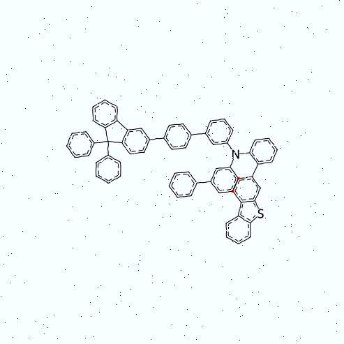 c1ccc(-c2cccc(N(c3cccc(-c4ccc(-c5ccc6c(c5)-c5ccccc5C6(c5ccccc5)c5ccccc5)cc4)c3)c3ccccc3-c3ccc4c(c3)sc3ccccc34)c2)cc1